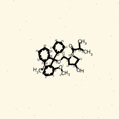 COc1ccccc1C(OCC1CC(O)CN1C(=O)C(C)C)(c1ccccc1)c1ccccc1OC